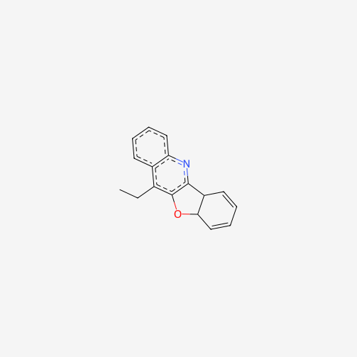 CCc1c2c(nc3ccccc13)C1C=CC=CC1O2